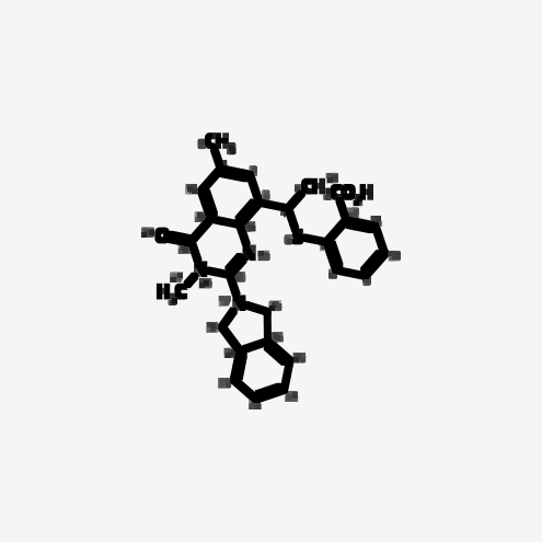 Cc1cc(C(C)Sc2ccccc2C(=O)O)c2nc(N3Cc4ccccc4C3)n(C)c(=O)c2c1